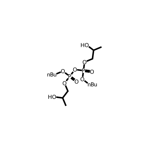 CCCCOP(=O)(OCC(C)O)OP(=O)(OCCCC)OCC(C)O